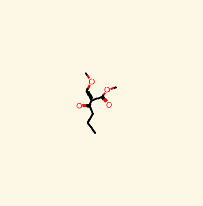 CCCC(=O)C(=COC)C(=O)OC